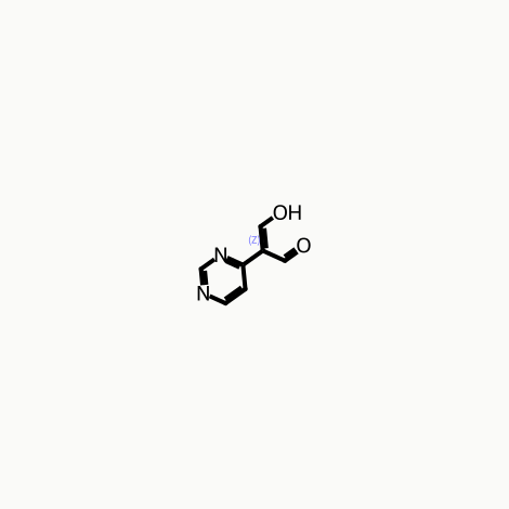 O=C/C(=C\O)c1ccncn1